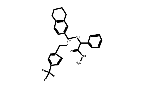 CNC(=O)C(N[C@H](CCc1ccc(C(F)(F)F)cc1)c1ccc2c(c1)CCCC2)c1ccccc1